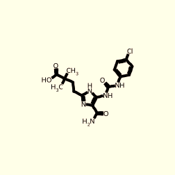 CC(C)(CCc1nc(C(N)=O)c(NC(=O)Nc2ccc(Cl)cc2)[nH]1)C(=O)O